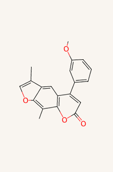 COc1cccc(-c2cc(=O)oc3c(C)c4occ(C)c4cc23)c1